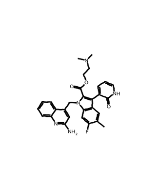 Cc1cc2c(-c3ccc[nH]c3=O)c(C(=O)OCCN(C)C)n(Cc3cc(N)nc4ccccc34)c2cc1F